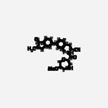 CO[C@@H]1CNC[C@@H](C(=O)N[C@H](C#N)Cc2ccc(-c3ccc4c(c3)CN(C)C4=O)cc2F)OC1